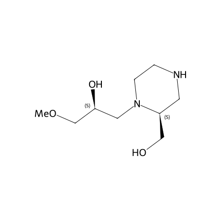 COC[C@@H](O)CN1CCNC[C@H]1CO